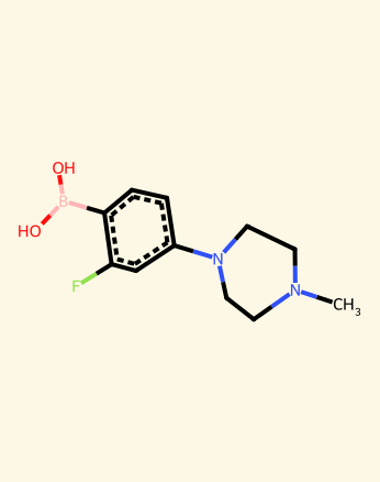 CN1CCN(c2ccc(B(O)O)c(F)c2)CC1